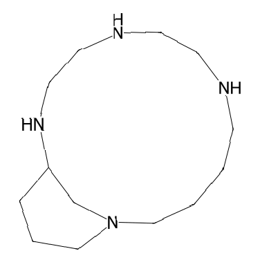 C1CCN2CCCC(C2)NCCNCCNC1